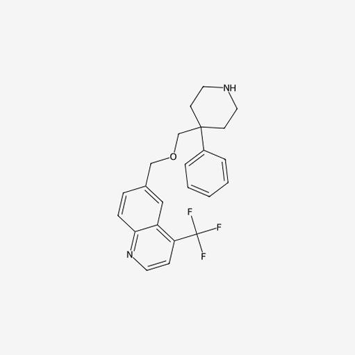 FC(F)(F)c1ccnc2ccc(COCC3(c4ccccc4)CCNCC3)cc12